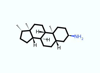 C[C@H]1CC[C@H]2[C@@H]3CC[C@H]4C[C@H](N)CC[C@]4(C)[C@H]3CC[C@]12C